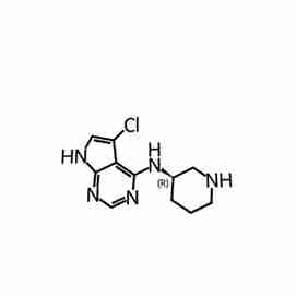 Clc1c[nH]c2ncnc(N[C@@H]3CCCNC3)c12